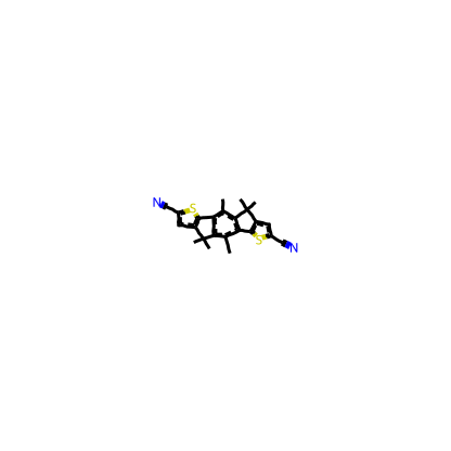 Cc1c2c(c(C)c3c1C(C)(C)c1cc(C#N)sc1-3)C(C)(C)c1cc(C#N)sc1-2